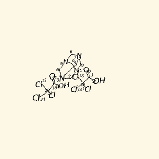 C1N2CN3CN1CN(C2)C3.O=C(O)C(Cl)(Cl)Cl.O=C(O)C(Cl)(Cl)Cl